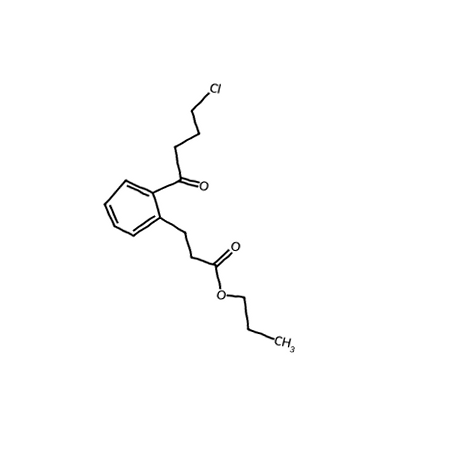 CCCOC(=O)CCc1ccccc1C(=O)CCCCl